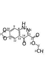 CCOC(=O)c1n[nH]c2cc3c(cc2c1=O)OCO3